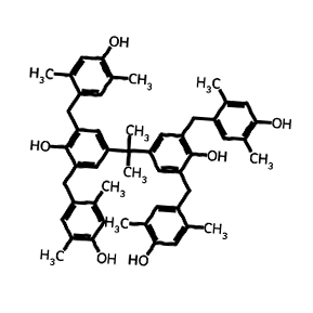 Cc1cc(Cc2cc(C(C)(C)c3cc(Cc4cc(C)c(O)cc4C)c(O)c(Cc4cc(C)c(O)cc4C)c3)cc(Cc3cc(C)c(O)cc3C)c2O)c(C)cc1O